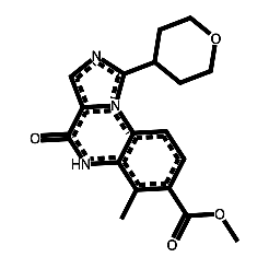 COC(=O)c1ccc2c([nH]c(=O)c3cnc(C4CCOCC4)n32)c1C